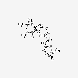 CN1CC(C)(C)Cn2nc3c(c2C1=O)CN(C(=O)Nc1ccc(F)c(C#N)c1)CC3